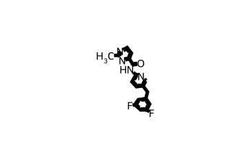 Cc1nccc(C(=O)Nc2ccc(Cc3cc(F)cc(F)c3)cn2)n1